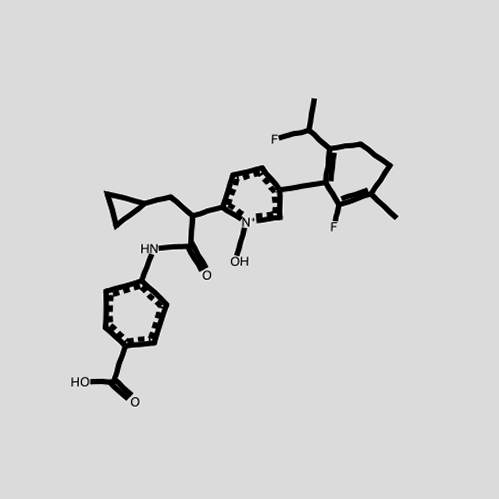 CC1=C(F)C(c2ccc(C(CC3CC3)C(=O)Nc3ccc(C(=O)O)cc3)[n+](O)c2)=C(C(C)F)CC1